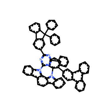 c1ccc(-c2nc(-c3ccc4c(c3)C(c3ccccc3)(c3ccccc3)c3ccccc3-4)nc(-n3c4ccccc4c4ccc5c6ccccc6n(-c6ccccc6-c6ccc7c8ccccc8c8ccccc8c7c6)c5c43)n2)cc1